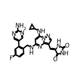 Nc1ncc(-c2cc(F)ccc2CNc2cc(NC3CC3)n3ncc(/C=C4\NC(=O)NC4=O)c3n2)cn1